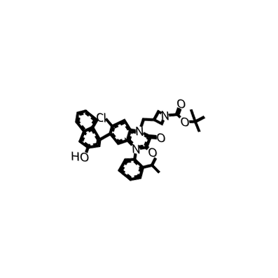 CC(C)c1ccccc1-n1c(=O)c(=O)n(CC2CN(C(=O)OC(C)(C)C)C2)c2cc(Cl)c(-c3cc(O)cc4ccccc34)cc21